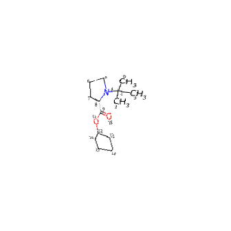 CC(C)(C)N1CCC[C@H]1C(=O)OC1CCCC1